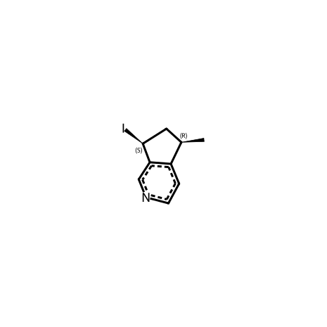 C[C@@H]1C[C@H](I)c2cnccc21